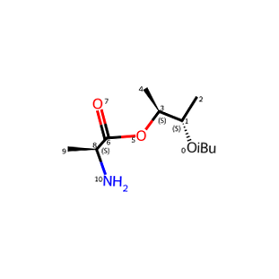 CC(C)CO[C@@H](C)[C@H](C)OC(=O)[C@H](C)N